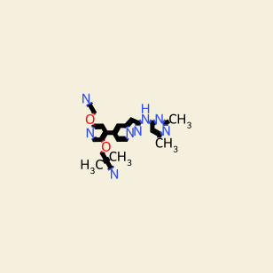 Cc1cc(Nc2cc3cc(-c4cc(OCC#N)ncc4OCC(C)(C)C#N)ccn3n2)nc(C)n1